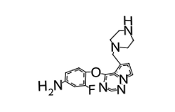 Nc1ccc(Oc2ncnn3ccc(CN4CCNCC4)c23)c(F)c1